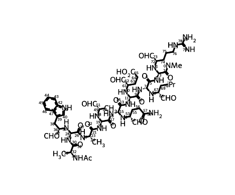 CNC(=O)[C@@H](NC(=O)[C@@H](NC(=O)[C@@H](NC(=O)[C@@H](NC(=O)[C@@H](NC(=O)[C@H](C)NC(=O)[C@@H](NC(=O)[C@H](C)NC(C)=O)N[C@@H](C=O)Cc1c[nH]c2ccccc12)N[C@@H](C)C=O)N[C@@H](C=O)CCC(N)=O)N[C@@H](C=O)CCC(=O)O)N[C@@H](C=O)CC(C)C)N[C@@H](C=O)CCCNC(=N)N